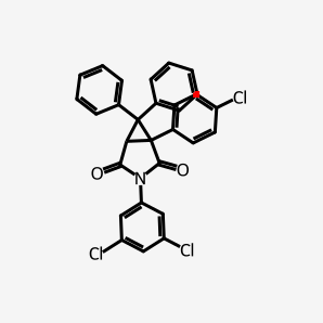 O=C1C2C(c3ccc(Cl)cc3)(C(=O)N1c1cc(Cl)cc(Cl)c1)C2(c1ccccc1)c1ccccc1